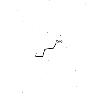 O=[C]CCCF